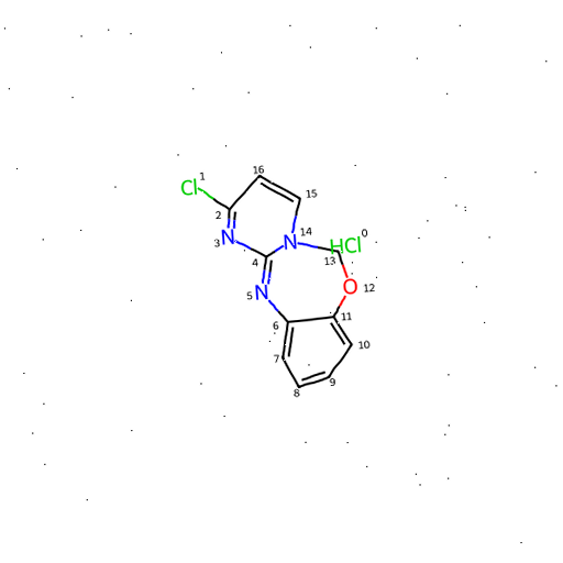 Cl.ClC1=NC2=Nc3ccccc3OCN2C=C1